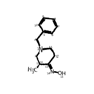 C[C@H]1CN(Cc2ccccc2)CCC1=NO